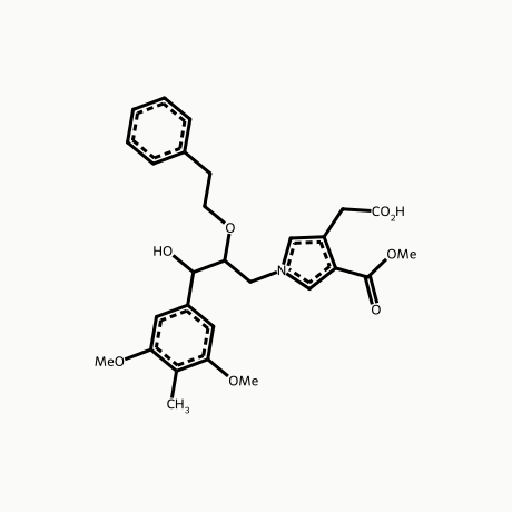 COC(=O)c1cn(CC(OCCc2ccccc2)C(O)c2cc(OC)c(C)c(OC)c2)cc1CC(=O)O